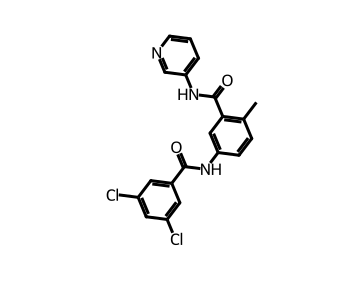 Cc1ccc(NC(=O)c2cc(Cl)cc(Cl)c2)cc1C(=O)Nc1cccnc1